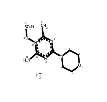 Nc1nc(N2CCOCC2)nc(N)[n+]1OS(=O)(=O)O.[OH-]